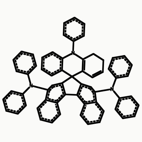 C1=CC2=C(CC1)N(c1ccccc1)c1ccccc1C21c2cc(N(c3ccccc3)c3ccccc3)c3ccccc3c2-c2c1cc(N(c1ccccc1)c1ccccc1)c1ccccc21